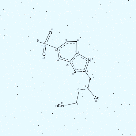 CCCCCCCCCCCCN(Sc1nc2ccc(S(C)(=O)=O)cc2s1)C(C)=O